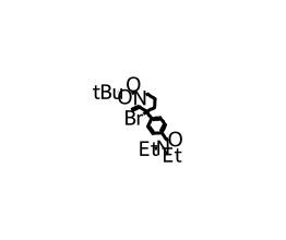 C=C1N(C(=O)OC(C)(C)C)CCCC1(Br)c1ccc(C(=O)N(CC)CC)cc1